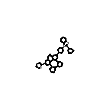 c1ccc(-c2nc3ccccc3n2-c2ccc(-c3cc4ccc5cc(-c6ccccn6)cc6c7ccccc7c7ccccc7c(c3)c4c56)cc2)cc1